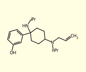 C=CCN(CCC)C1CCC(NC(C)C)(c2cccc(O)c2)CC1